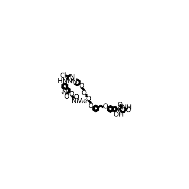 CNC(=O)COc1cc2cc(Nc3nc(N4CCC(OCCOCCOCCOc5cccc(CCOc6ccc7c(c6)CN(C6CCC(=O)NC6=O)C7O)c5)CC4)ncc3Cl)ccc2n(C)c1=O